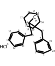 Cl.c1ccc(CC2(Cc3ccccc3)CN3CCN2CC3)cc1